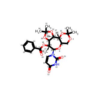 CC1(C)OCC2O[C@@H](n3ccc(=O)[nH]c3=O)[C@](C)(OC(=O)c3ccccc3)C3OC(C)(C)O[C@H]3[C@@H]2O1